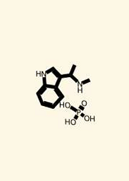 CNC(C)c1c[nH]c2ccccc12.O=P(O)(O)O